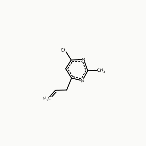 C=CCc1cc(CC)nc(C)n1